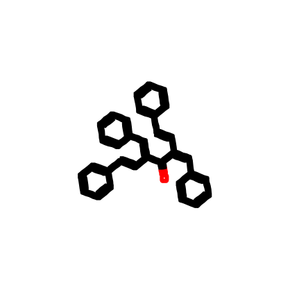 O=C(C(C=Cc1ccccc1)=Cc1ccccc1)C(C=Cc1ccccc1)=Cc1ccccc1